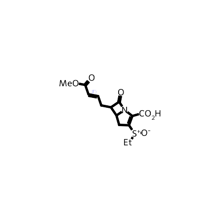 CC[S+]([O-])C1=C(C(=O)O)N2C(=O)C(C/C=C/C(=O)OC)C2C1